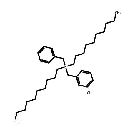 CCCCCCCCCC[N+](CCCCCCCCCC)(Cc1ccccc1)Cc1ccccc1.[Cl-]